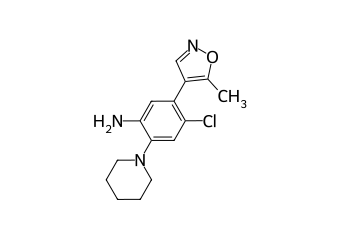 Cc1oncc1-c1cc(N)c(N2CCCCC2)cc1Cl